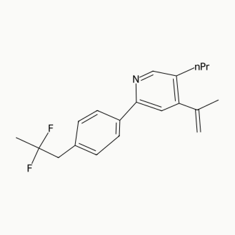 C=C(C)c1cc(-c2ccc(CC(C)(F)F)cc2)ncc1CCC